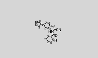 N#C[C@H](Cc1ccc(-c2cnoc2)cc1)NC(=O)[C@@H]1CCCCN1